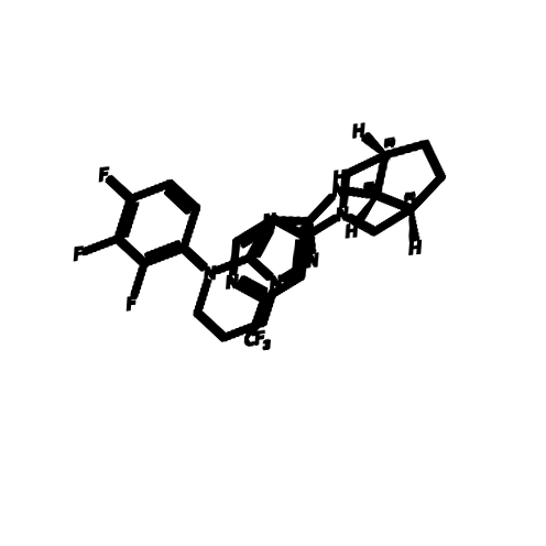 Fc1ccc(N2CCCn3nc(N[C@H]4[C@@H]5CC[C@H]4CN(c4ccnc(C(F)(F)F)c4)C5)nc32)c(F)c1F